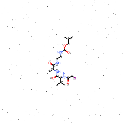 CC(C)COC(=O)NCCNC(=O)[C@H](C)NC(=O)C(NC(=O)CI)C(C)C